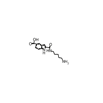 NCCCCCNC(=O)c1cc2cc(C(=O)O)ccc2[nH]1